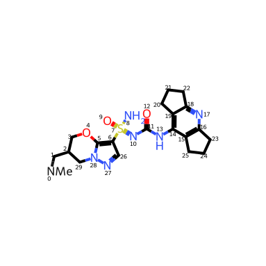 CNCC1COc2c(S(N)(=O)=NC(=O)Nc3c4c(nc5c3CCC5)CCC4)cnn2C1